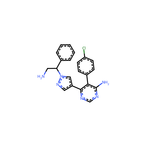 NCC(c1ccccc1)n1cc(-c2ncnc(N)c2-c2ccc(Cl)cc2)cn1